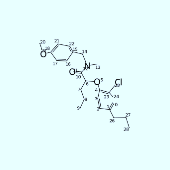 C=C(/C=C\C(OC(CCC)C(=O)N(C)Cc1ccc(OC)cc1)=C(/C)Cl)CCC